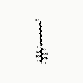 CCCCCCCCCCCCNC(=O)C(O)C(O)C(O)C(O)C(=O)O